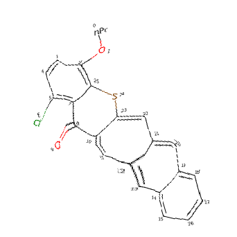 CCCOc1ccc(Cl)c2c(=O)c3cc4cc5ccccc5cc4cc3sc12